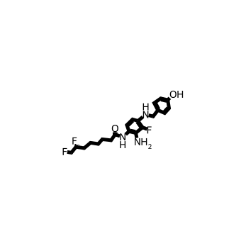 Nc1c(NC(=O)CCCCC[C@@H](F)CF)ccc(NCc2ccc(O)cc2)c1F